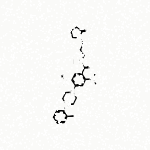 Cc1ccccc1N1CCN(c2cc(N(C)C)c(C(=O)NCCCN3CCCC3=O)cc2[N+](=O)[O-])CC1